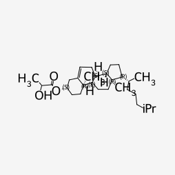 CC(C)CCCC(C)[C@H]1CC[C@H]2[C@@H]3CC=C4C[C@@H](OC(=O)C(C)O)CC[C@]4(C)[C@H]3CC[C@]12C